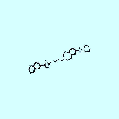 Cn1c(-c2ccc3ncccc3c2)cnc1SCCCN1CCc2ccc(S(=O)(=O)N3CCOCC3)cc2CC1